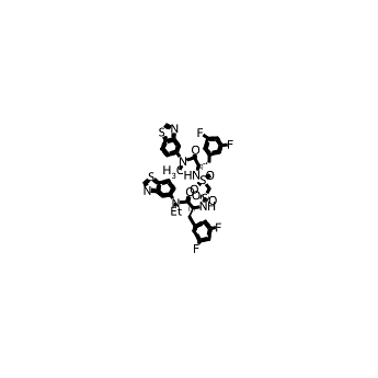 CCN(C(=O)[C@H](Cc1cc(F)cc(F)c1)NS(=O)(=O)CS(=O)(=O)N[C@@H](Cc1cc(F)cc(F)c1)C(=O)N(C)c1ccc2scnc2c1)c1ccc2scnc2c1